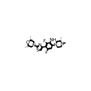 C[C@@H]1CN(c2nc(-c3c(F)cc(N4CCN(C)[C@@H](C)C4)c(N)c3F)cs2)C[C@H](C)O1